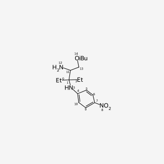 CCC(CC)(Nc1ccc([N+](=O)[O-])cc1)C(N)COCC(C)C